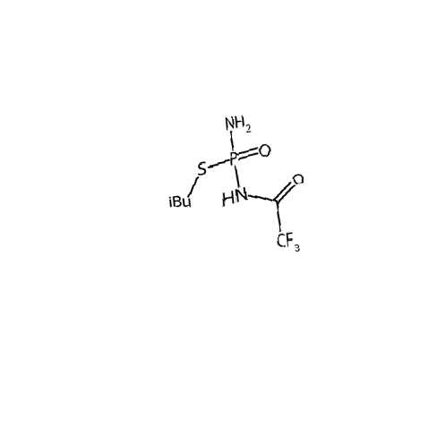 CCC(C)SP(N)(=O)NC(=O)C(F)(F)F